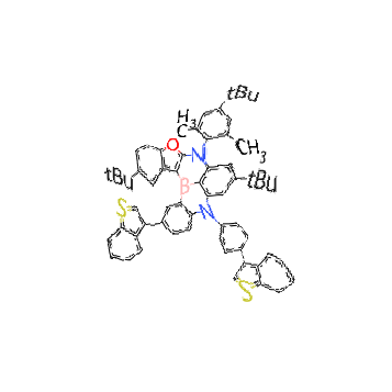 Cc1cc(C(C)(C)C)cc(C)c1N1c2cc(C(C)(C)C)cc3c2B(c2cc(-c4csc5ccccc45)ccc2N3c2ccc(-c3csc4ccccc34)cc2)c2c1oc1ccc(C(C)(C)C)cc21